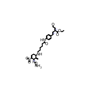 C=C1/C(=N\ON)C([N+](=O)[O-])=CCC1NCCCCCC(=O)Nc1ccc(/C=C/C(=C\C=O)C(=O)OCC)cc1